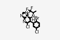 CC(Nc1c(-c2cc(Cl)ccc2Br)c(Cl)nc2ncnn12)C(F)(F)F